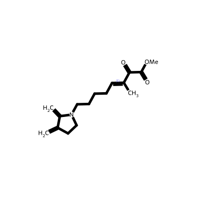 C=C1CCN(CCCC/C=C(\C)C(=O)C(=O)OC)C1=C